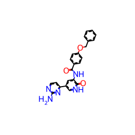 Nc1nccc(-c2c[nH]c(=O)c(NC(=O)c3ccc(OCc4ccccc4)cc3)c2)n1